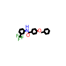 O=C(Nc1cccc(C(F)(F)F)c1)c1ccc(OCc2ccccc2)cc1